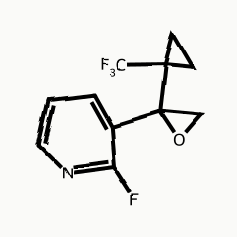 Fc1ncccc1C1(C2(C(F)(F)F)CC2)CO1